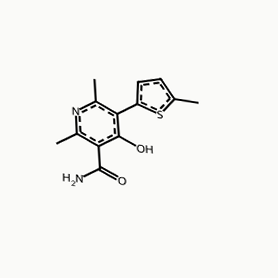 Cc1ccc(-c2c(C)nc(C)c(C(N)=O)c2O)s1